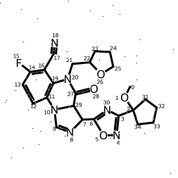 COC1(c2noc(C3N=CN4c5ccc(F)c(C#N)c5N(CC5CCCO5)C(=O)C34)n2)CCCC1